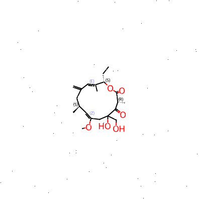 C=C1/C=C(\C)[C@H](CC)OC(=O)[C@H](C)C(=O)C(O)(CO)C/C(OC)=C/[C@@H](C)C1